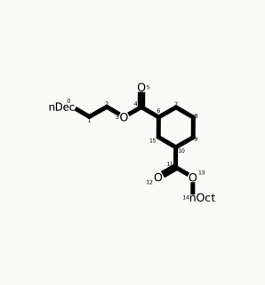 CCCCCCCCCCCCOC(=O)C1CCCC(C(=O)OCCCCCCCC)C1